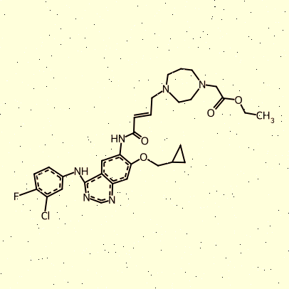 CCOC(=O)CN1CCCN(C/C=C/C(=O)Nc2cc3c(Nc4ccc(F)c(Cl)c4)ncnc3cc2OCC2CC2)CC1